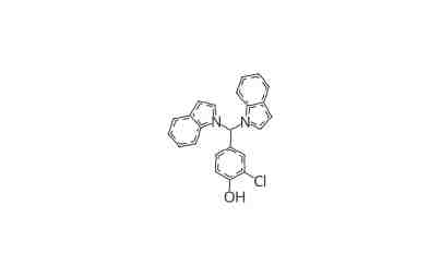 Oc1ccc(C(n2ccc3ccccc32)n2ccc3ccccc32)cc1Cl